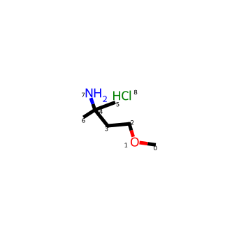 COCCC(C)(C)N.Cl